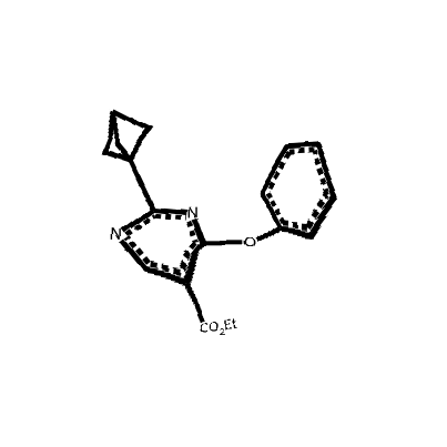 CCOC(=O)c1cnc(C23CC(C2)C3)nc1Oc1ccccc1